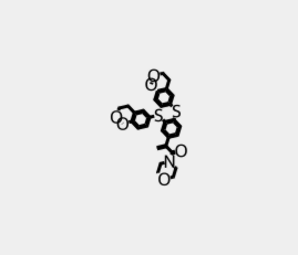 C=C(C(=O)N1CCOCC1)c1ccc(Sc2ccc3c(c2)CCOO3)c(Sc2ccc3c(c2)CCOO3)c1